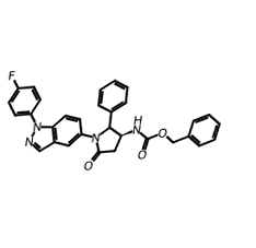 O=C(N[C@H]1CC(=O)N(c2ccc3c(cnn3-c3ccc(F)cc3)c2)C1c1ccccc1)OCc1ccccc1